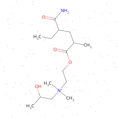 CCC(CC(C)C(=O)OCC[N+](C)(C)CC(C)O)C(N)=O